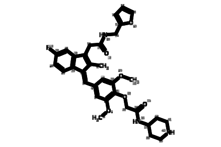 COc1cc(C=C2C(C)=C(CC(=O)NCc3ccco3)c3cc(F)ccc32)cc(OC)c1OCC(=O)NC1CCNCC1